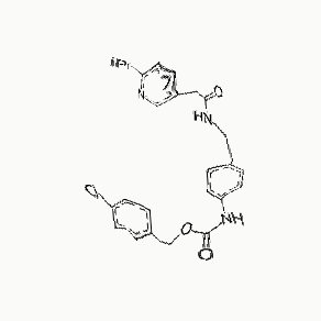 CC(C)c1ccc(C(=O)NCc2ccc(NC(=O)OCc3ccc(Cl)cc3)cc2)cn1